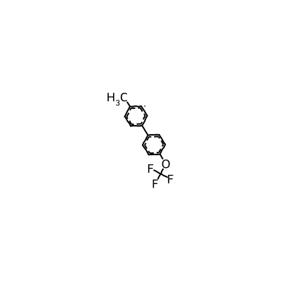 Cc1[c]cc(-c2ccc(OC(F)(F)F)cc2)cc1